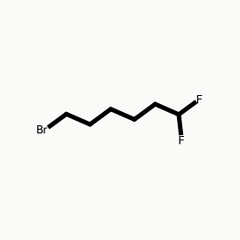 FC(F)CCCCCBr